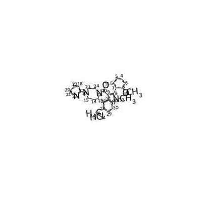 COc1ccccc1-c1c(C(=O)N2CCCN(c3ccccn3)CC2)c2cc(C)ccc2n1C.Cl